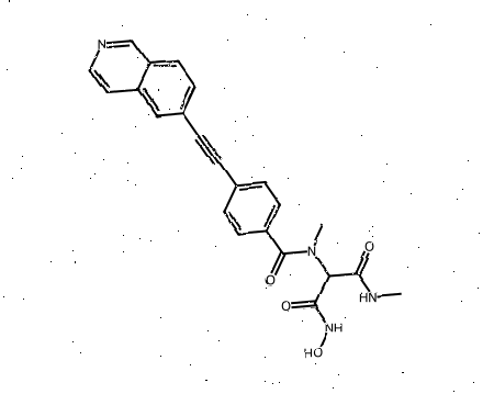 CNC(=O)C(C(=O)NO)N(C)C(=O)c1ccc(C#Cc2ccc3cnccc3c2)cc1